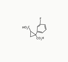 O=C(O)C1CC1(C(=O)O)c1cccc(F)c1